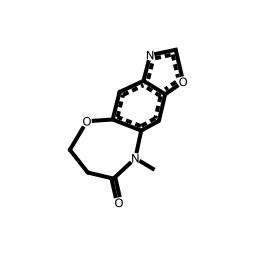 CN1C(=O)CCOc2cc3ncoc3cc21